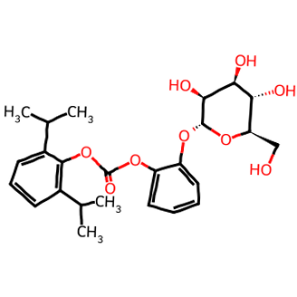 CC(C)c1cccc(C(C)C)c1OC(=O)Oc1ccccc1O[C@H]1O[C@H](CO)[C@@H](O)[C@H](O)[C@@H]1O